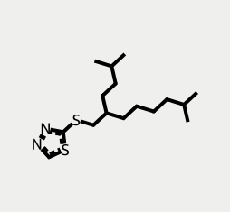 CC(C)CCCCC(CCC(C)C)CSc1nncs1